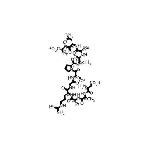 CC[C@H](C)[C@H](NC(=O)[C@H](C)NC(=O)[C@@H]1CCCN1C(=O)[C@H](CO)NC(=O)CNC(=O)[C@H](CCCNC(=N)N)NC(=O)[C@@H](NC(=O)[C@H](C)NC(=O)[C@@H](N)CC(=O)O)C(C)C)C(=O)N[C@@H](CC(N)=O)C(=O)N[C@H](C(=O)O)C(C)C